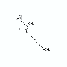 CCCCCCCCCCCCC(C)CC(C)CC[CH2][Mg][Cl]